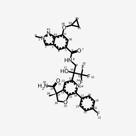 Cn1cc2cc(C(=O)NCC(O)(c3cc4c(c(-c5ccc(F)cc5)n3)OC[C@]4(C)C(N)=O)C(F)(F)F)cc(OC3CC3)c2n1